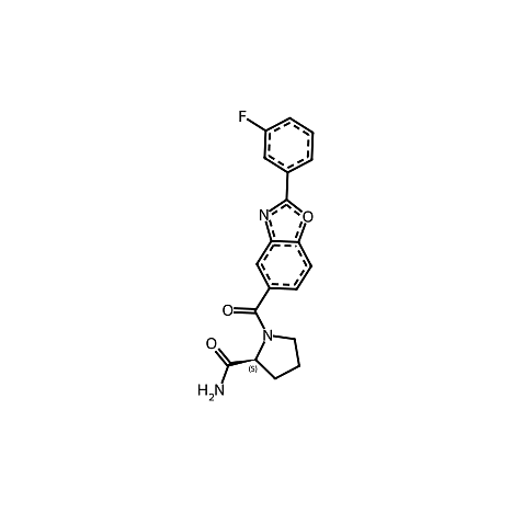 NC(=O)[C@@H]1CCCN1C(=O)c1ccc2oc(-c3cccc(F)c3)nc2c1